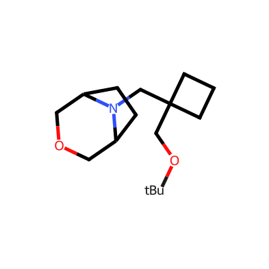 CC(C)(C)OCC1(CN2C3CCC2COC3)CCC1